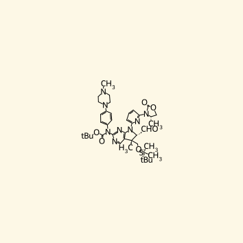 C[C@H]1COC(=O)N1c1cccc(N2c3nc(N(C(=O)OC(C)(C)C)c4ccc(N5CCN(C)CC5)cc4)ncc3[C@@](C)(CO[Si](C)(C)C(C)(C)C)[C@H]2CC=O)n1